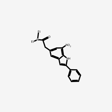 CCN(CC)C(=O)Cc1cc([N+](=O)[O-])c2[nH]c(-c3ccccc3)cc2c1